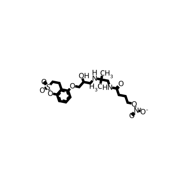 CC(C)(CNC(=O)CCCO[N+](=O)[O-])NCC(O)COc1cccc2c1CCS(=O)(=O)O2